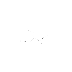 [CH2]CCNC(OCC)OCC